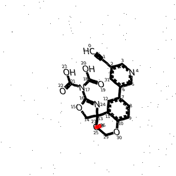 C#Cc1cncc(-c2ccc3c(c2)C2(COC(N(C(=O)O)C(=O)O)=N2)C2(COC2)CO3)c1